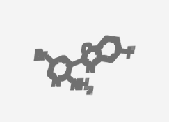 Nc1ncc(Br)cc1-c1nc2cc(F)ccc2o1